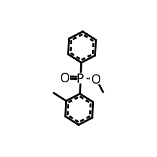 CO[P@](=O)(c1ccccc1)c1ccccc1C